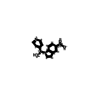 CN(c1ccncc1)n1ccc2cc([N+](=O)[O-])ccc21